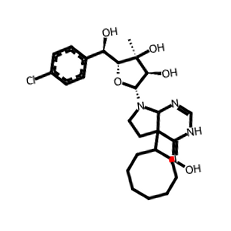 C[C@@]1(O)[C@@H]([C@H](O)c2ccc(Cl)cc2)O[C@@H](N2CCC3(C4CCCCCCC4)/C(=N/O)NC=NC23)[C@@H]1O